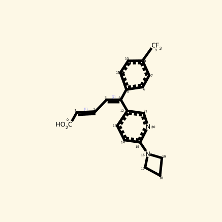 O=C(O)/C=C/C=C(/c1ccc(C(F)(F)F)cc1)c1ccc(N2CCC2)nc1